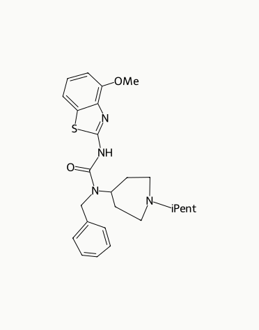 CCCC(C)N1CCC(N(Cc2ccccc2)C(=O)Nc2nc3c(OC)cccc3s2)CC1